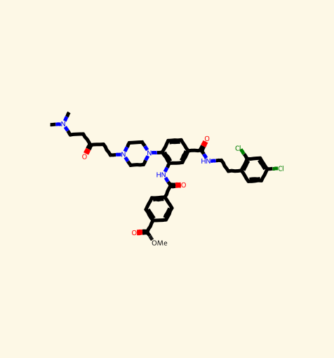 COC(=O)c1ccc(C(=O)Nc2cc(C(=O)NCCc3ccc(Cl)cc3Cl)ccc2N2CCN(CCC(=O)CCN(C)C)CC2)cc1